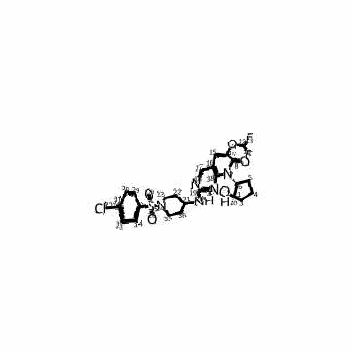 C[C@@]1(O)CCC[C@H]1n1c(=O)c(OC(F)F)cc2cnc(NC3CCN(S(=O)(=O)c4ccc(Cl)cc4)CC3)nc21